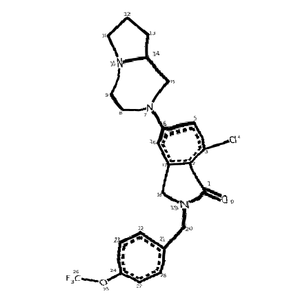 O=C1c2c(Cl)cc(N3CCN4CCCC4C3)cc2CN1Cc1ccc(OC(F)(F)F)cc1